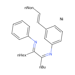 CCCCCCCCCC=Cc1cccc(N=C(CCCC)C(CCCCCC)=Nc2ccccc2)c1.[Ni]